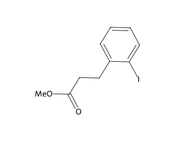 COC(=O)CCc1ccccc1I